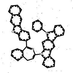 C1=C(n2c3ccccc3c3cc4c5ccccc5n(-c5ccccc5)c4cc32)N=C(c2ccc3c(c2)oc2cc4ccccc4cc23)c2ccccc2C1